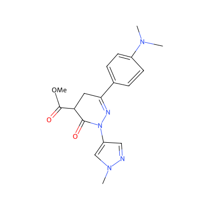 COC(=O)C1CC(c2ccc(N(C)C)cc2)=NN(c2cnn(C)c2)C1=O